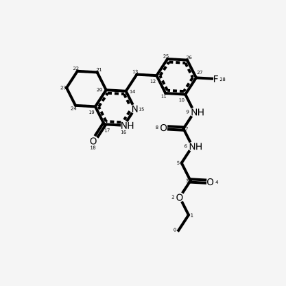 CCOC(=O)CNC(=O)Nc1cc(Cc2n[nH]c(=O)c3c2CCCC3)ccc1F